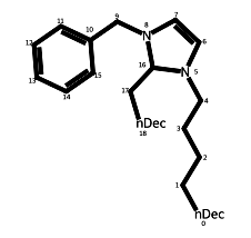 CCCCCCCCCCCCCCN1C=CN(Cc2ccccc2)C1CCCCCCCCCCC